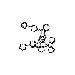 c1ccc(-c2ccc(-n3c4ccccc4c4ccc(-n5c6ccc(-c7ccccc7)cc6c6cccc([Si](c7ccccc7)(c7ccccc7)c7ccccc7)c65)cc43)cc2)cc1